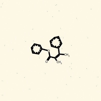 CC(C(=O)Oc1ccccc1)=C(C)c1ccccc1